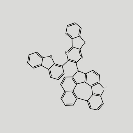 c1cc2c3c(c1)ccc1c3c3c4c(ccc3n1-c1nc3sc5ccccc5c3nc1-c1cccc3c1sc1ccccc13)sc1cccc-2c14